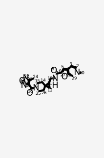 C=N/C=C\c1cc(C(=O)NCC2CC23CCN(C(=O)c2nonc2C)CC3)oc1C